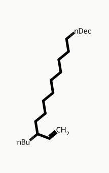 C=CC(CCCC)CCCCCCCCCCCCCCCCCCC